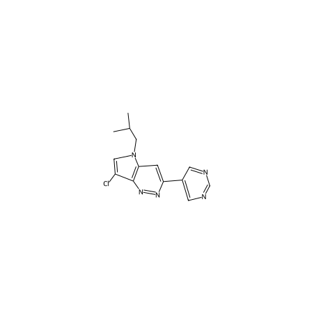 CC(C)Cn1cc(Cl)c2nnc(-c3cncnc3)cc21